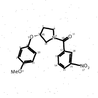 COc1ccc(O[C@@H]2CCN(C(=O)c3cccc([N+](=O)[O-])c3)C2)cc1